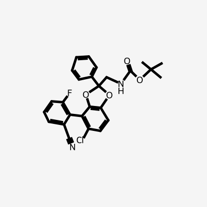 CC(C)(C)OC(=O)NCC1(c2ccccc2)Oc2ccc(Cl)c(-c3c(F)cccc3C#N)c2O1